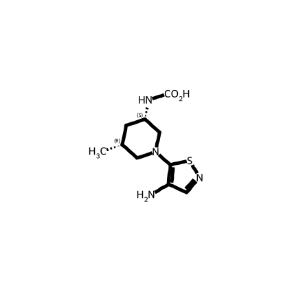 C[C@@H]1C[C@H](NC(=O)O)CN(c2sncc2N)C1